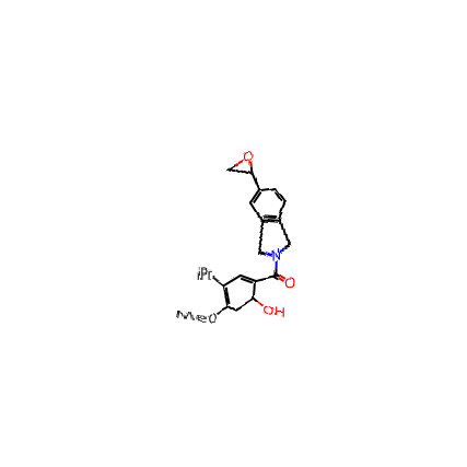 COC1=C(C(C)C)C=C(C(=O)N2Cc3ccc(C4CO4)cc3C2)C(O)C1